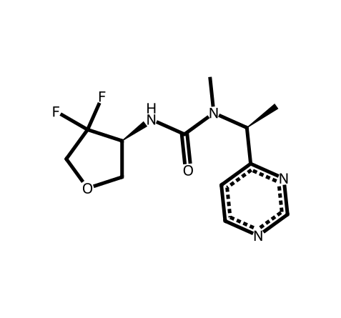 C[C@@H](c1ccncn1)N(C)C(=O)N[C@H]1COCC1(F)F